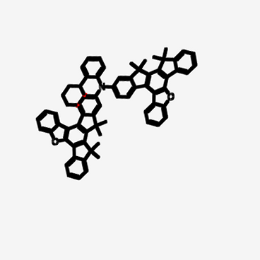 CC1(C)c2ccccc2-c2c1c1c(c3c2oc2ccccc23)-c2ccc(N(c3ccc4c(c3)C(C)(C)c3c5c(c6oc7ccccc7c6c3-4)-c3ccccc3C5(C)C)c3ccccc3C3CCCCC3)cc2C1(C)C